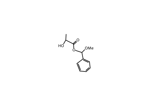 COC(OC(=O)C(C)O)c1ccccc1